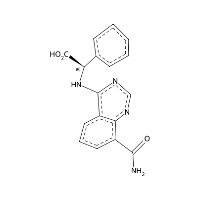 NC(=O)c1cccc2c(N[C@@H](C(=O)O)c3ccccc3)ncnc12